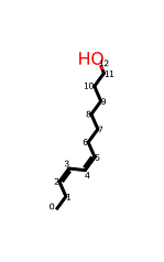 CC/C=C\C=C/CCCCCCO